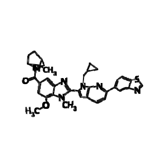 COc1cc(C(=O)N2CC3CCC2[C@@H]3C)cc2nc(-c3cc4ccc(-c5ccc6scnc6c5)nc4n3CC3CC3)n(C)c12